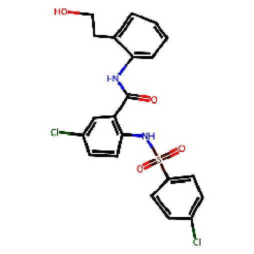 O=C(Nc1ccccc1CCO)c1cc(Cl)ccc1NS(=O)(=O)c1ccc(Cl)cc1